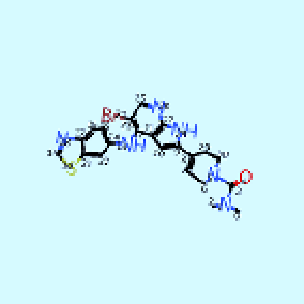 CN(C)C(=O)N1CC=C(c2cc3c(Nc4ccc5ncsc5c4)c(Br)cnc3[nH]2)CC1